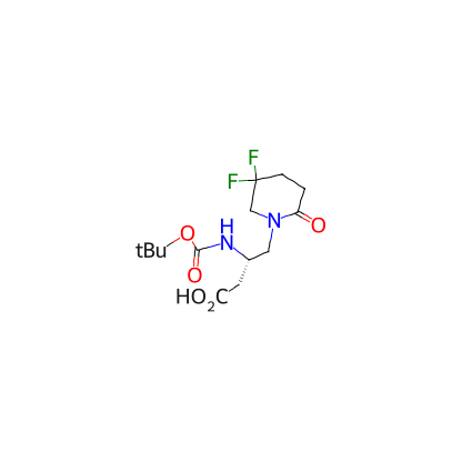 CC(C)(C)OC(=O)N[C@@H](CC(=O)O)CN1CC(F)(F)CCC1=O